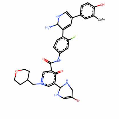 COc1cc(C2=CNC(N)C(c3ccc(NC(=O)c4cn(CC5CCOCC5)cc(C5NC=C(Br)CN5)c4=O)cc3F)=C2)ccc1O